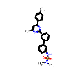 CN(C)S(=O)(=O)Nc1cccc(-c2cccc(-c3nc(-c4ccc(C(F)(F)F)cc4)cc(C(F)(F)F)n3)c2)c1